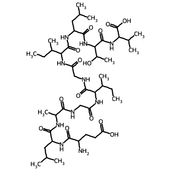 CCC(C)C(NC(=O)CNC(=O)C(C)NC(=O)C(CC(C)C)NC(=O)C(N)CCC(=O)O)C(=O)NCC(=O)NC(C(=O)NC(CC(C)C)C(=O)NC(C(=O)NC(C(=O)O)C(C)C)C(C)O)C(C)CC